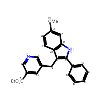 CCOC(=O)c1cncc(Cc2c(-c3ccccc3)[nH]c3cc(OC)ccc23)c1